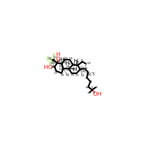 C[C@H](CCCC(C)(C)O)[C@H]1CC[C@H]2[C@@H]3CC[C@H]4C(O)(C(F)(F)F)[C@@H](O)CC[C@]4(C)[C@H]3CC[C@]12C